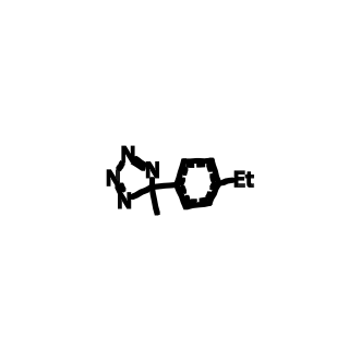 [CH2]Cc1ccc(C2(C)N=NN=N2)cc1